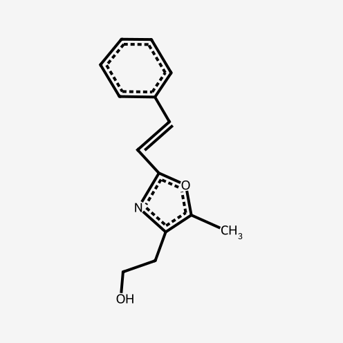 Cc1oc(C=Cc2ccccc2)nc1CCO